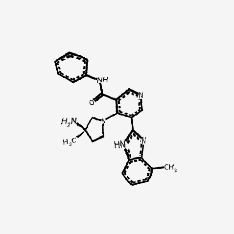 Cc1cccc2[nH]c(-c3cncc(C(=O)Nc4ccccc4)c3N3CC[C@](C)(N)C3)nc12